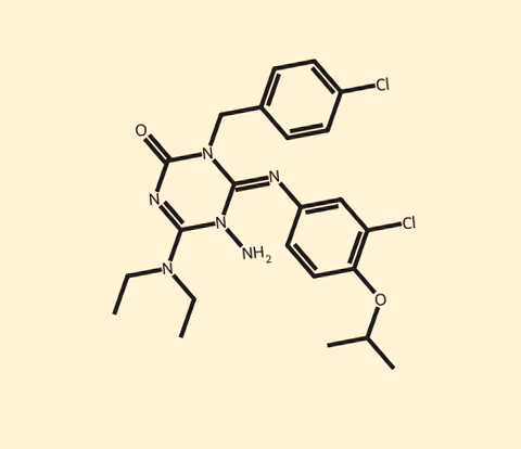 CCN(CC)c1nc(=O)n(Cc2ccc(Cl)cc2)/c(=N/c2ccc(OC(C)C)c(Cl)c2)n1N